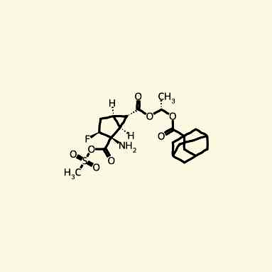 C[C@@H](OC(=O)[C@H]1[C@@H]2C[C@H](F)[C@@](N)(C(=O)OS(C)(=O)=O)[C@@H]21)OC(=O)C12CC3CC(CC(C3)C1)C2